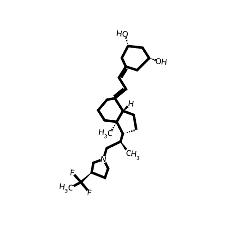 C[C@@H](CN1CC[C@@H](C(C)(F)F)C1)[C@H]1CC[C@H]2C(=CC=C3C[C@@H](O)C[C@@H](O)C3)CCC[C@]12C